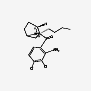 CCCC[C@]1(C(=O)c2ccc(Cl)c(Cl)c2N)CC2CC[C@H]1N2